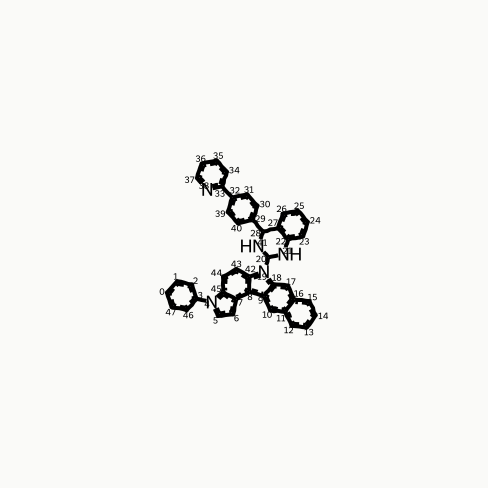 c1ccc(-n2ccc3c4c5cc6ccccc6cc5n(C5Nc6ccccc6C(c6ccc(-c7ccccn7)cc6)N5)c4ccc32)cc1